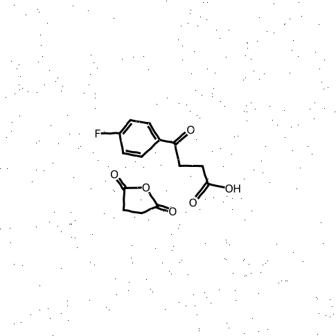 O=C(O)CCC(=O)c1ccc(F)cc1.O=C1CCC(=O)O1